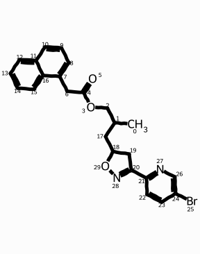 CC(COC(=O)Cc1cccc2ccccc12)CC1CC(c2ccc(Br)cn2)=NO1